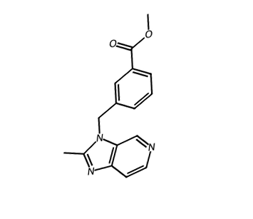 COC(=O)c1cccc(Cn2c(C)nc3ccncc32)c1